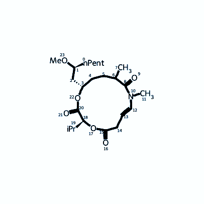 CCCCC[C@@H](C[C@@H]1CCC(C)C(=O)N(C)/C=C/CC(=O)O[C@@H](C(C)C)C(=O)O1)OC